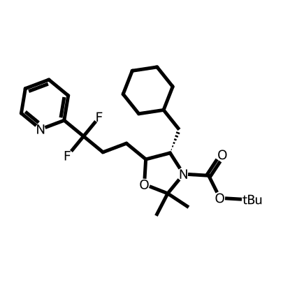 CC(C)(C)OC(=O)N1[C@@H](CC2CCCCC2)C(CCC(F)(F)c2ccccn2)OC1(C)C